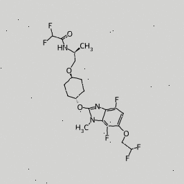 C[C@@H](CO[C@H]1CC[C@H](Oc2nc3c(F)cc(OCC(F)F)c(F)c3n2C)CC1)NC(=O)C(F)F